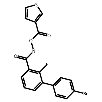 O=C(ONC(=O)c1cccc(-c2ccc(Br)cc2)c1F)c1ccsc1